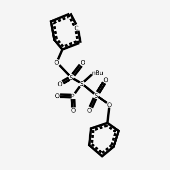 CCCCS(P(=O)=O)(S(=O)(=O)Oc1ccccc1)S(=O)(=O)Oc1ccccc1